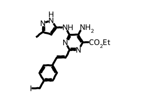 CCOC(=O)c1nc(/C=C/c2ccc(CI)cc2)nc(Nc2cc(C)n[nH]2)c1N